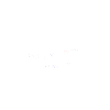 CCCCOC(=O)c1nc(C(=O)OCC)c[nH]1